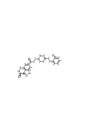 O=C(CCC1CCN(CCc2ccccc2F)CC1)c1cc2c3c(c1)CCN3C(=O)CC2